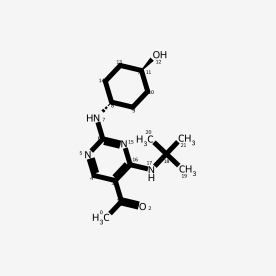 CC(=O)c1cnc(N[C@H]2CC[C@H](O)CC2)nc1NC(C)(C)C